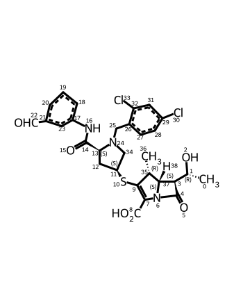 C[C@@H](O)[C@H]1C(=O)N2C(C(=O)O)=C(S[C@H]3C[C@@H](C(=O)Nc4cccc(C=O)c4)N(Cc4ccc(Cl)cc4Cl)C3)[C@H](C)[C@H]12